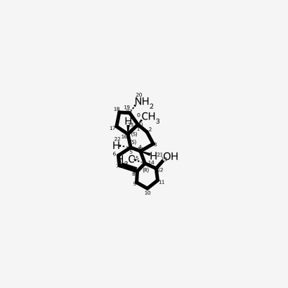 C[C@]12CC[C@H]3[C@@H](CC=C4CCCC(O)[C@@]43C)[C@@H]1CC[C@@H]2N